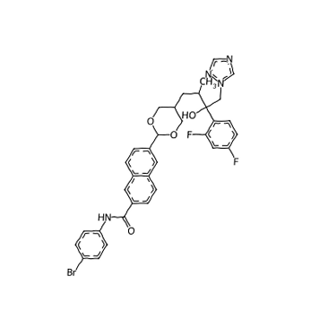 CC(CC1COC(c2ccc3cc(C(=O)Nc4ccc(Br)cc4)ccc3c2)OC1)C(O)(Cn1cncn1)c1ccc(F)cc1F